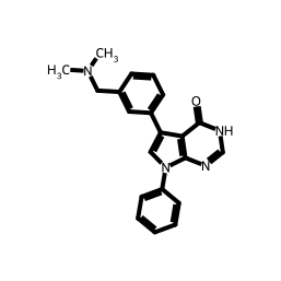 CN(C)Cc1cccc(-c2cn(-c3ccccc3)c3nc[nH]c(=O)c23)c1